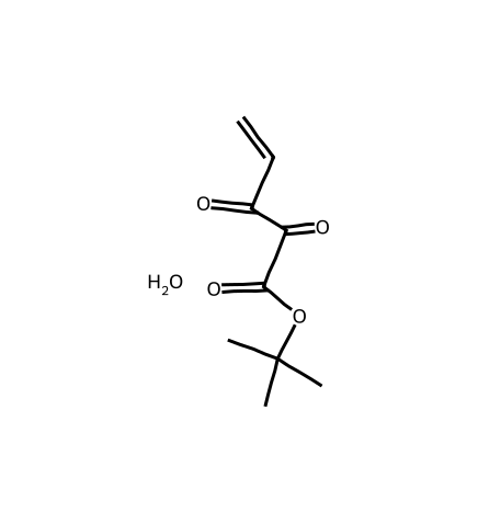 C=CC(=O)C(=O)C(=O)OC(C)(C)C.O